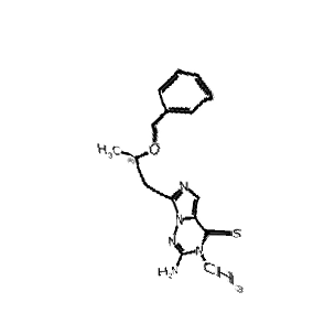 C[C@H](Cc1ncc2c(=S)n(C)c(N)nn12)OCc1ccccc1